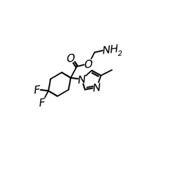 Cc1cn(C2(C(=O)OCN)CCC(F)(F)CC2)cn1